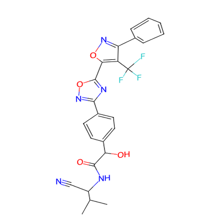 CC(C)C(C#N)NC(=O)C(O)c1ccc(-c2noc(-c3onc(-c4ccccc4)c3C(F)(F)F)n2)cc1